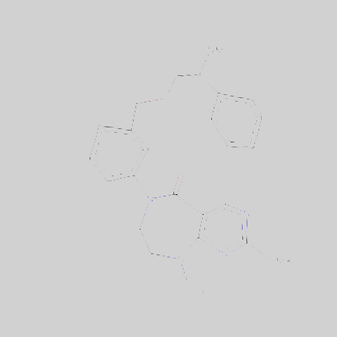 CNC(COCc1cccc(N2CCN(C)c3nc(SC)ncc3C2=O)c1)c1ccccc1